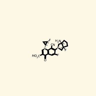 N#Cc1c(N2C[C@]3(N)CCC[C@]3(F)C2)c(F)cc2c(=O)c(C(=O)O)cn([C@@H]3C[C@@H]3F)c12